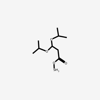 CC(C)OC(CC(=O)O[SiH3])OC(C)C